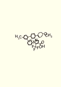 COC1CC=C(c2ccc(-c3ccc(C)cc3-c3cccc(-n4ncc(C(=O)O)c4C(F)(F)F)n3)cc2)CC1